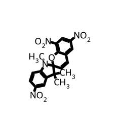 CN1c2ccc([N+](=O)[O-])cc2C(C)(C)C12C=Cc1cc([N+](=O)[O-])cc([N+](=O)[O-])c1O2